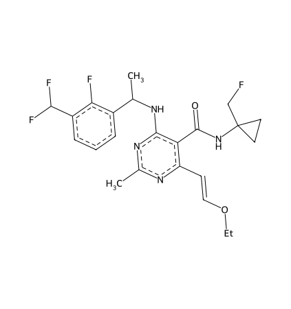 CCOC=Cc1nc(C)nc(NC(C)c2cccc(C(F)F)c2F)c1C(=O)NC1(CF)CC1